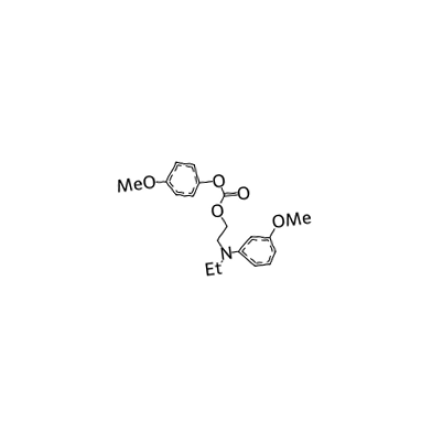 CCN(CCOC(=O)Oc1ccc(OC)cc1)c1cccc(OC)c1